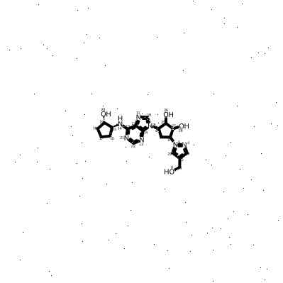 OCc1cnn(C2CC(n3cnc4c(N[C@H]5CCC[C@@H]5O)ncnc43)C(O)C2O)c1